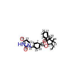 CCC1C2OB(c3ccc(Cn4ccc(=O)[nH]c4=O)cc3)OC2(c2ccccc2)C(C)(C)C1(C)C